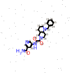 NC(=O)c1cncc(NC(=O)C(=O)N2CCC3C(CCCN3Cc3ccccc3)C2)c1